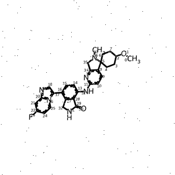 COC1CCC2(CC1)c1ccc(Nc3ccc(-c4cnc5cc(F)ccn45)c4c3C(=O)NC4)nc1CN2C